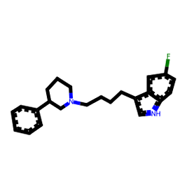 Fc1ccc2[nH]cc(CCCCN3CCCC(c4ccccc4)C3)c2c1